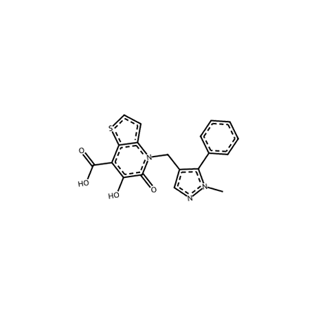 Cn1ncc(Cn2c(=O)c(O)c(C(=O)O)c3sccc32)c1-c1ccccc1